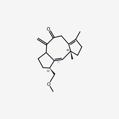 C=C1C(=O)CC2=C(C)CC[C@]2(C)/C=C2\C1CC[C@@H]2COC